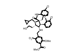 COC(=O)c1cc([N+](=O)[O-])c(CN[C@@H]2[C@H](CCO)N(CC3CC3)[C@]3(Cc4ccc(Cl)cc4NC3=O)[C@H]2c2cccc(Cl)c2F)cc1OC